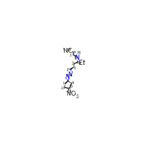 CC/C(=C\C=C(/C)N=Nc1ccc([N+](=O)[O-])cc1)N(C)CCC#N